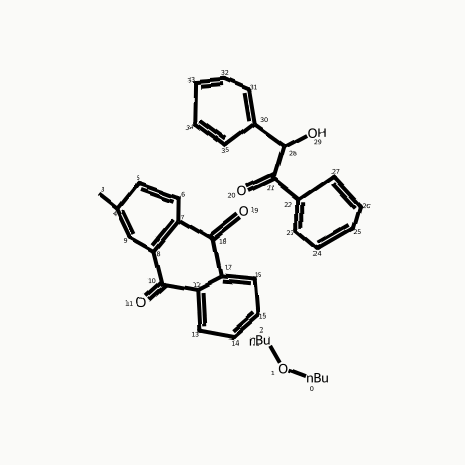 CCCCOCCCC.Cc1ccc2c(c1)C(=O)c1ccccc1C2=O.O=C(c1ccccc1)C(O)c1ccccc1